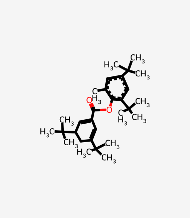 Cc1cc(C(C)(C)C)cc(C(C)(C)C)c1OC(=O)C1=CC(C(C)(C)C)CC(C(C)(C)C)=C1